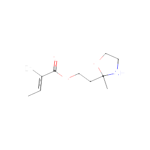 CC=C(CC)C(=O)OCCC1(C)NCCO1